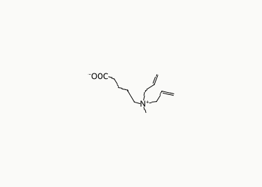 C=CC[N+](C)(CC=C)CCCCC(=O)[O-]